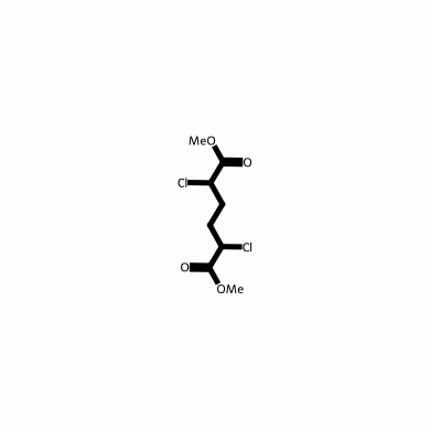 COC(=O)C(Cl)CCC(Cl)C(=O)OC